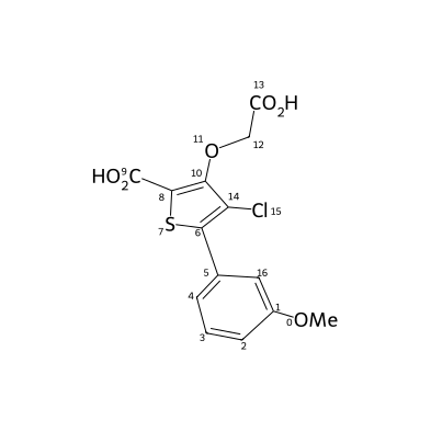 COc1cccc(-c2sc(C(=O)O)c(OCC(=O)O)c2Cl)c1